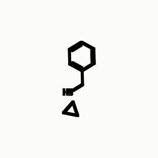 C1CC1.SCc1ccccc1